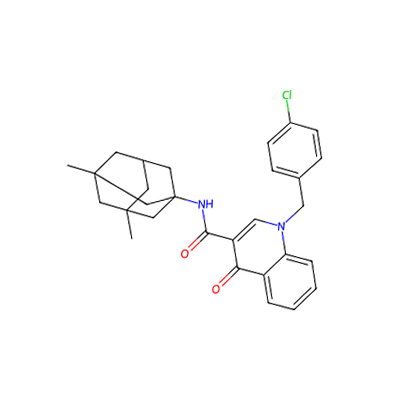 CC12CC3CC(C)(C1)CC(NC(=O)c1cn(Cc4ccc(Cl)cc4)c4ccccc4c1=O)(C3)C2